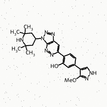 COc1n[nH]cc1-c1ccc(-c2cc3nnn(C4CC(C)(C)NC(C)(C)C4)c3nn2)c(O)c1